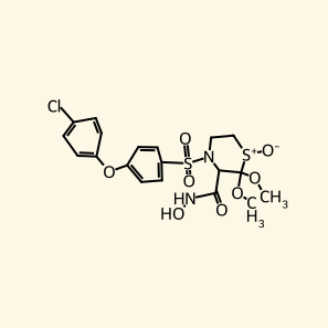 COC1(OC)C(C(=O)NO)N(S(=O)(=O)c2ccc(Oc3ccc(Cl)cc3)cc2)CC[S+]1[O-]